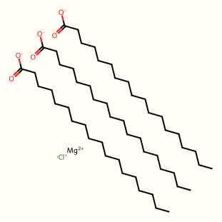 CCCCCCCCCCCCCCCCCC(=O)[O-].CCCCCCCCCCCCCCCCCC(=O)[O-].CCCCCCCCCCCCCCCCCC(=O)[O-].[Cl+].[Mg+2]